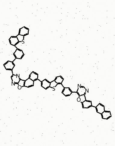 c1cc(-c2cccc(-c3cccc4c3sc3ccccc34)c2)cc(-c2cnc3oc4ccc5c(-c6ccc7sc8c(-c9cccc(-c%10ncnc%11c%10oc%10ccc(-c%12ccc%13ccccc%13c%12)cc%10%11)c9)cccc8c7c6)cccc5c4c3n2)c1